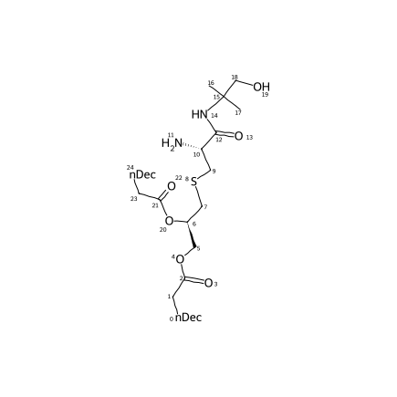 CCCCCCCCCCCC(=O)OC[C@H](CSC[C@H](N)C(=O)NC(C)(C)CO)OC(=O)CCCCCCCCCCC